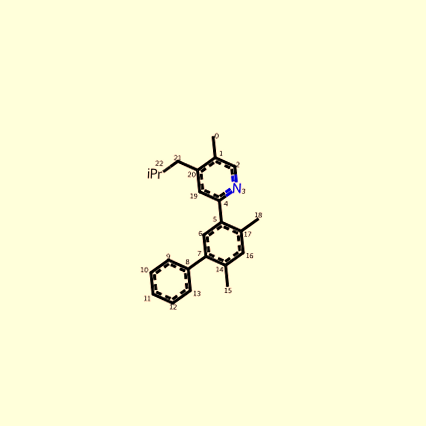 Cc1cnc(-c2cc(-c3ccccc3)c(C)cc2C)cc1CC(C)C